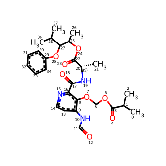 CC(C)C(=O)OCOc1c(NC=O)ccnc1C(=O)N[C@@H](C)C(=O)OC(C)C(Oc1ccccc1)C(C)C